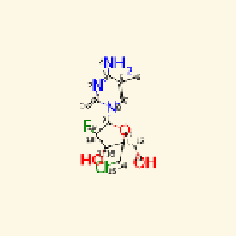 C=C1N=C(N)C(C)=CN1[C@@H]1O[C@@](CO)(CCl)[C@@H](O)[C@H]1F